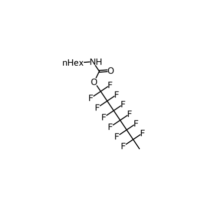 CCCCCCNC(=O)OC(F)(F)C(F)(F)C(F)(F)C(F)(F)C(F)(F)C(C)(F)F